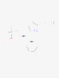 Cc1ccc(/C(=C2/CC(C)(C)C(=O)O2)c2ccc(C(=O)O)[nH]2)cc1